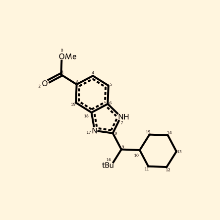 COC(=O)c1ccc2[nH]c(C(C3CCCCC3)C(C)(C)C)nc2c1